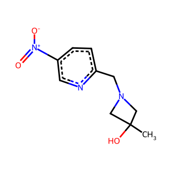 CC1(O)CN(Cc2ccc([N+](=O)[O-])cn2)C1